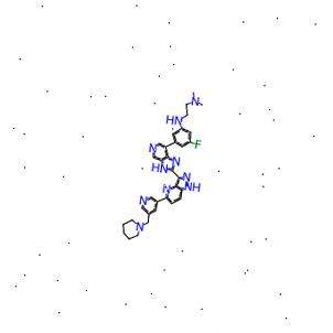 CN(C)CCNc1cc(F)cc(-c2cncc3[nH]c(-c4n[nH]c5ccc(-c6cncc(CN7CCCCC7)c6)nc45)nc23)c1